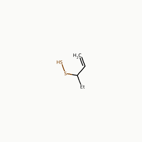 C=CC(CC)SS